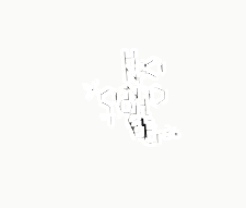 CC(C)(C)c1cc(C=NC(c2ccccc2)C(N)c2ccccc2)c(O)c(C(C)(C)C)c1.[Cl-].[Cl-].[Cl-].[Cr+3]